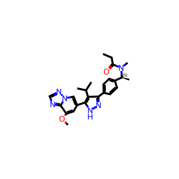 CCC(=O)N(C)[C@@H](C)c1ccc(-c2n[nH]c(-c3cc(OC)c4ncnn4c3)c2C(C)C)cc1